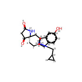 O=C1CC(=O)[C@@]2(CC[C@@]34Cc5ccc(O)cc5[C@@]3(CCN(CC3CC3)C4)C2)N1